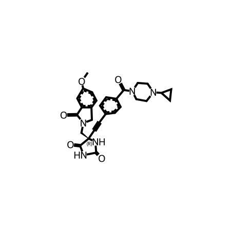 COc1ccc2c(c1)C(=O)N(C[C@@]1(C#Cc3ccc(C(=O)N4CCN(C5CC5)CC4)cc3)NC(=O)NC1=O)C2